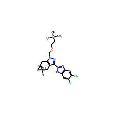 C[C@@]12Cc3c(c(-c4nc5cc(Br)c(F)cc5[nH]4)nn3COCC[Si](C)(C)C)C[C@@H]1C2